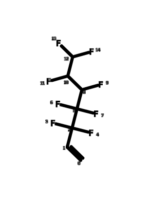 C=CC(F)(F)C(F)(F)C(F)C(F)C(F)F